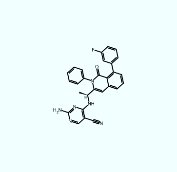 C[C@H](Nc1nc(N)ncc1C#N)c1cc2cccc(-c3cccc(F)c3)c2c(=O)n1-c1ccccc1